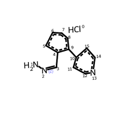 Cl.N/N=C\c1ccccc1-c1ccncc1